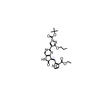 CCCOc1nn(C(=O)OC(C)(C)C)cc1-c1ncc2c(n1)/C(=C/c1[nH]ccc1C(=O)OCC)C(=O)N2